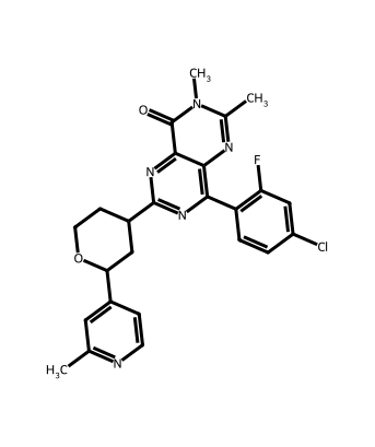 Cc1cc(C2CC(c3nc(-c4ccc(Cl)cc4F)c4nc(C)n(C)c(=O)c4n3)CCO2)ccn1